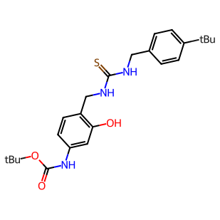 CC(C)(C)OC(=O)Nc1ccc(CNC(=S)NCc2ccc(C(C)(C)C)cc2)c(O)c1